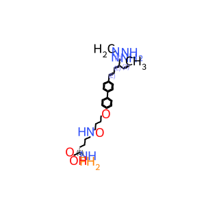 C=N/N=C(NN)/C(/C=C\C)=C/C=C/c1ccc(-c2ccc(OCCCC(=O)NCCCC[C@H](NP)C(=O)O)cc2)cc1